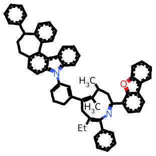 CC/C1=C(c2ccccc2)/N=C(/c2cccc3c2oc2ccccc23)CC(C)/C(C)=C(\C2=CC(n3c4ccccc4c4c5c(ccc43)CCC(c3ccccc3)c3ccccc3-5)=CCC2)C1